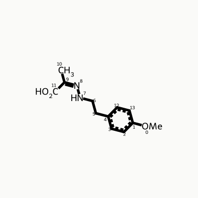 COc1ccc(CCN/N=C(/C)C(=O)O)cc1